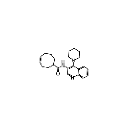 O=C(Nc1cnc2ccccc2c1N1CCCCC1)C1CC/C=C\CCC1